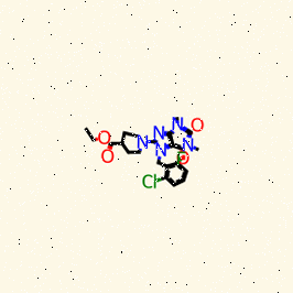 CCOC(=O)C1CCN(c2nc3c(c(=O)n(C)c(=O)n3C)n2Cc2c(F)cccc2Cl)CC1